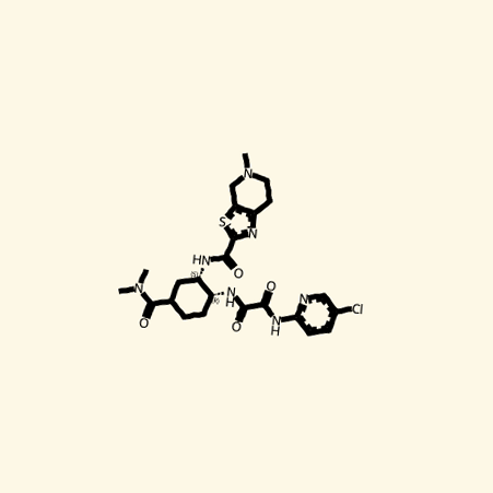 CN1CCc2nc(C(=O)N[C@H]3CC(C(=O)N(C)C)CC[C@H]3NC(=O)C(=O)Nc3ccc(Cl)cn3)sc2C1